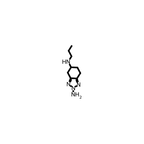 CCCNC1CCc2nn(N)nc2C1